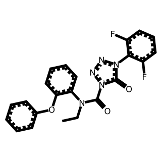 CCN(C(=O)n1nnn(-c2c(F)cccc2F)c1=O)c1ccccc1Oc1ccccc1